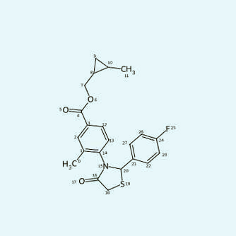 Cc1cc(C(=O)OCC2CC2C)ccc1N1C(=O)CSC1c1ccc(F)cc1